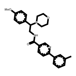 COc1ccc(C(CNC(=O)c2ccc(-c3cccc(C)c3)nc2)N2CCOCC2)cc1